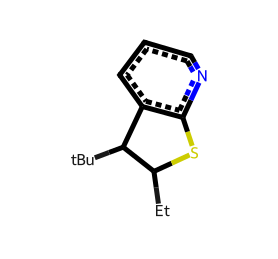 CCC1Sc2ncccc2C1C(C)(C)C